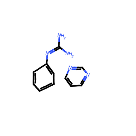 NC(N)=Nc1ccccc1.c1cncnc1